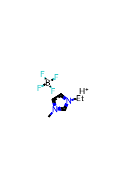 CCn1cc[n+](C)c1.F[B-](F)(F)F.[H+]